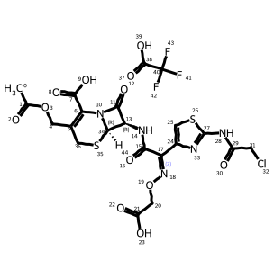 CC(=O)OCC1=C(C(=O)O)N2C(=O)[C@@H](NC(=O)/C(=N\OCC(=O)O)c3csc(NC(=O)CCl)n3)[C@H]2SC1.O=C(O)C(F)(F)F